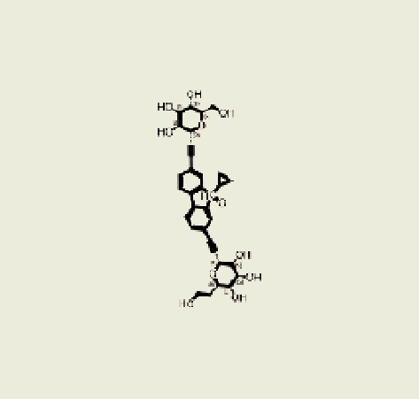 O=[SH]1(C2CC2)c2cc(C#C[C@H]3O[C@H](CO)[C@@H](O)[C@H](O)[C@@H]3O)ccc2-c2ccc(C#C[C@H]3O[C@H](CCO)[C@@H](O)[C@H](O)[C@@H]3O)cc21